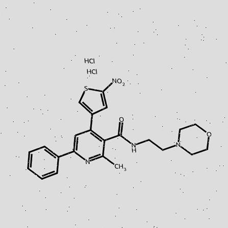 Cc1nc(-c2ccccc2)cc(-c2csc([N+](=O)[O-])c2)c1C(=O)NCCN1CCOCC1.Cl.Cl